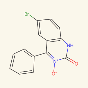 O=c1[nH]c2ccc(Br)cc2c(-c2ccccc2)[n+]1[O-]